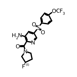 Nc1cc(S(=O)(=O)c2ccc(OC(F)(F)F)cc2)cnc1C(=O)N1CC[C@H](F)C1